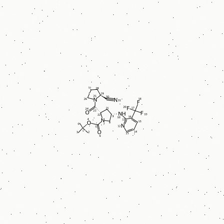 CC(C)(C)OC(=O)N1C[C@@H](Nc2ncccc2C(F)(F)F)C[C@H]1C(=O)N1CCC[C@H]1C#N